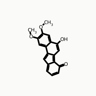 COc1cc2c(O)cc3c(c2cc1OC)=CC1=CC=CC(=O)C=31